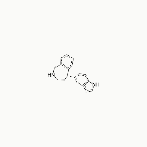 c1ccc2c(c1)CNCCC2c1ccc2[nH]ccc2c1